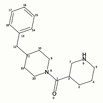 O=C(C1CCCNC1)N1CCC(Cc2ccccc2)CC1